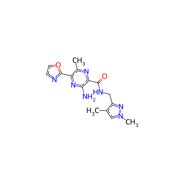 Cc1cn(C)nc1CNC(=O)c1nc(C)c(-c2ncco2)nc1N